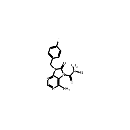 CCN(C)C(=O)n1c(=O)n(Cc2ccc(F)cc2)c2ncnc(N)c21